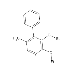 CCOc1[c]cc(C)c(-c2ccccc2)c1OCC